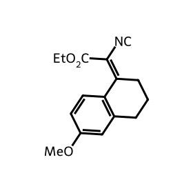 [C-]#[N+]C(C(=O)OCC)=C1CCCc2cc(OC)ccc21